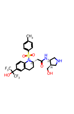 Cc1ccc(S(=O)(=O)N2c3ccc(C(O)(C(F)(F)F)C(F)(F)F)cc3CC[C@H]2CC(=O)N[C@@H]2CNC[C@H]2CO)cc1